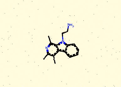 Cc1nc(C)c2c(c1C)c1ccccc1n2CCN